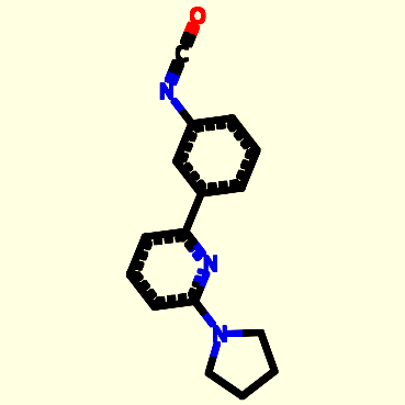 O=C=Nc1cccc(-c2cccc(N3CCCC3)n2)c1